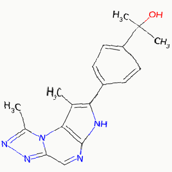 Cc1c(-c2ccc(C(C)(C)O)cc2)[nH]c2ncc3nnc(C)n3c12